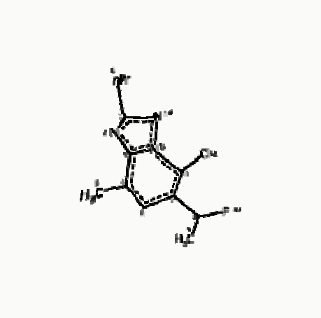 CCCc1nc2c(C)cc(C(C)F)c(Cl)n2n1